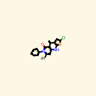 C=C1c2cc(Cl)sc2Nc2cc(C(C)C)n(-c3ccccc3)c(=O)c21